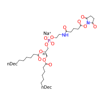 CCCCCCCCCCCCCCCC(=O)OC[C@H](COP(=O)([O-])OCCNC(=O)CCCC(=O)ON1C(=O)CCC1=O)OC(=O)CCCCCCCCCCCCCCC.[Na+]